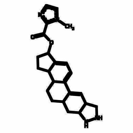 Cn1ccnc1C(=O)OC1CCC2C1=CC=C1C3=CC4CNNC4CC3CCC12